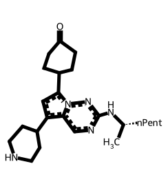 CCCCC[C@H](C)Nc1ncc2c(C3CCNCC3)cc(C3CCC(=O)CC3)n2n1